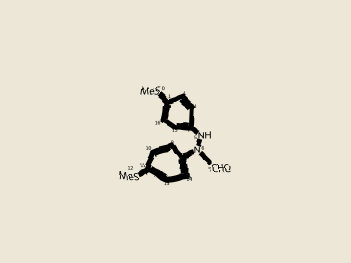 CSc1ccc(NN(C=O)c2ccc(SC)cc2)cc1